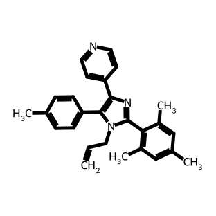 C=CCn1c(-c2c(C)cc(C)cc2C)nc(-c2ccncc2)c1-c1ccc(C)cc1